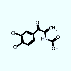 C=C(NC(=O)O)C(=O)c1ccc(Cl)c(Cl)c1